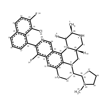 [2H]C1[C@@H](C)NC[C@@H]2CN3c4c(nc5c(F)c(-c6cccc7ccc(F)c(Cl)c67)ncc5c4N12)OC[C@H]3[C@@H]1CCCN1C